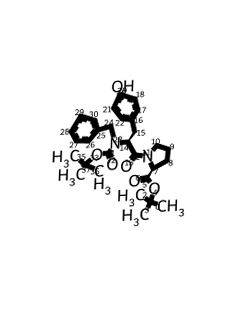 CC(C)(C)OC(=O)[C@@H]1CCCN1C(=O)[C@H](Cc1ccc(O)cc1)N(Cc1ccccc1)C(=O)OC(C)(C)C